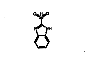 O=[SeH](=O)c1nc2ccccc2[nH]1